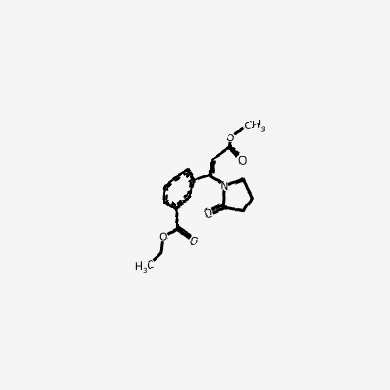 CCOC(=O)c1cccc(/C(=C/C(=O)OC)N2CCCC2=O)c1